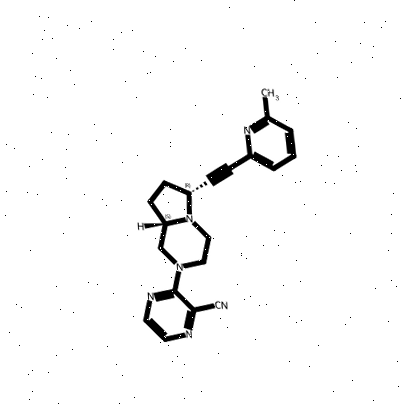 Cc1cccc(C#C[C@H]2CC[C@H]3CN(c4nccnc4C#N)CCN32)n1